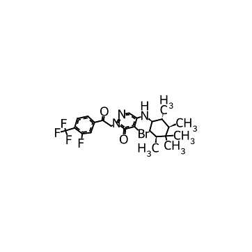 C[C@@H]1[C@@H](C)C(C)(C)[C@@H](C)C[C@H]1Nc1cnn(CC(=O)c2ccc(C(F)(F)F)c(F)c2)c(=O)c1Br